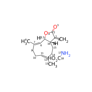 C=C1C(=O)O[C@@H]2/C=C(\C)CC/C=C(\C)CC[C@@H]12.NC(=O)O